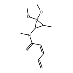 C=C/C=C\C(=C)N(C)C1C(C)[N+]1(OC)OC